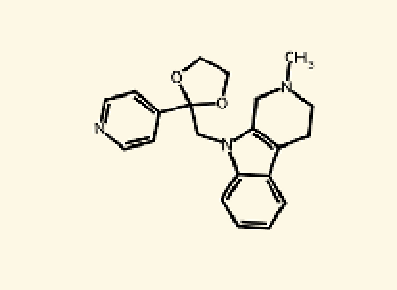 CN1CCc2c(n(CC3(c4ccncc4)OCCO3)c3ccccc23)C1